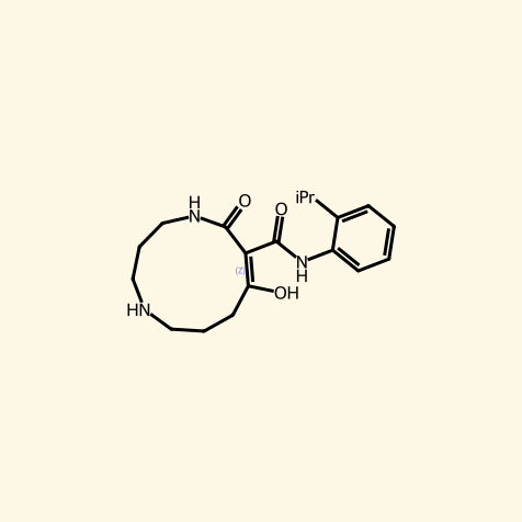 CC(C)c1ccccc1NC(=O)/C1=C(\O)CCCNCCCNC1=O